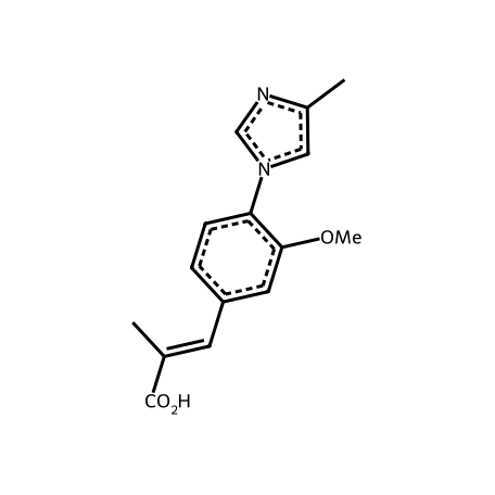 COc1cc(/C=C(\C)C(=O)O)ccc1-n1cnc(C)c1